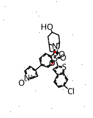 O=C(c1ccc(-c2cc[n+]([O-])cc2)cc1)N1C2CC(O)CC1CN(S(=O)(=O)c1cc3ccc(Cl)cc3s1)C2